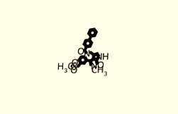 Cn1cc2c3c(c[nH]c3c1=O)CN(C(=O)c1ccc(-c3ccccc3)cc1)c1ccc(CS(C)(=O)=O)cc1-2